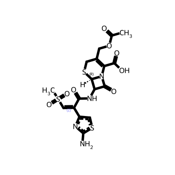 CC(=O)OCC1=C(C(=O)O)N2C(=O)C(NC(=O)/C(=C\S(C)(=O)=O)c3csc(N)n3)[C@H]2SC1